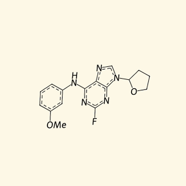 COc1cccc(Nc2nc(F)nc3c2ncn3C2CCCO2)c1